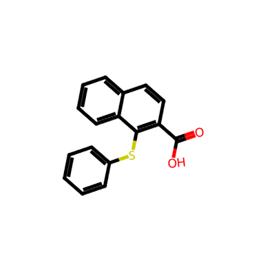 O=C(O)c1ccc2ccccc2c1Sc1ccccc1